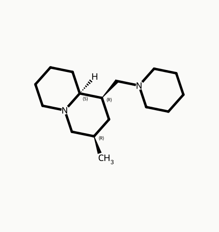 C[C@@H]1C[C@H](CN2CCCCC2)[C@@H]2CCCCN2C1